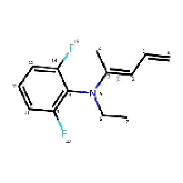 C=C/C=C(\C)N(CC)c1c(F)cccc1F